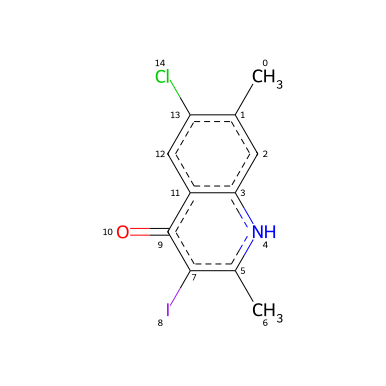 Cc1cc2[nH]c(C)c(I)c(=O)c2cc1Cl